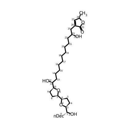 CCCCCCCCCC[C@@H](O)[C@@H]1CC[C@H]([C@H]2CC[C@@H]([C@@H](O)CCCCCCCCCC[C@H](O)CC3=C[C@@H](C)OC3=O)O2)O1